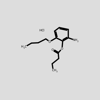 CCCCOc1cccc(N)c1OC(=O)CCC.Cl